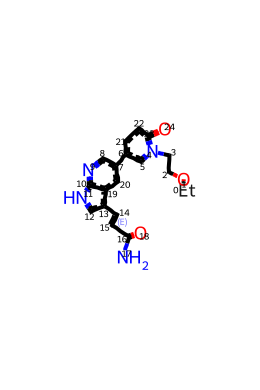 CCOCCn1cc(-c2cnc3[nH]cc(/C=C/C(N)=O)c3c2)ccc1=O